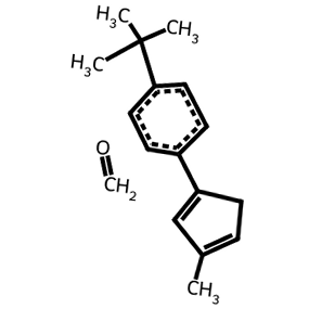 C=O.CC1=CCC(c2ccc(C(C)(C)C)cc2)=C1